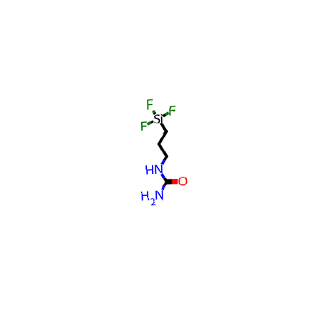 NC(=O)NCCC[Si](F)(F)F